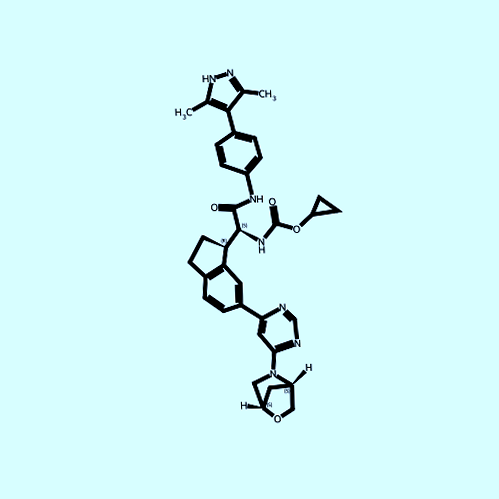 Cc1n[nH]c(C)c1-c1ccc(NC(=O)[C@@H](NC(=O)OC2CC2)[C@@H]2CCc3ccc(-c4cc(N5C[C@@H]6C[C@H]5CO6)ncn4)cc32)cc1